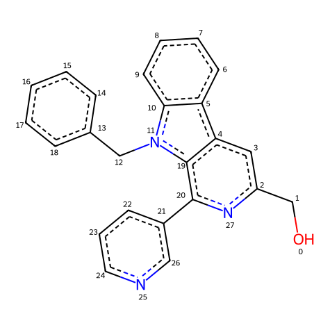 OCc1cc2c3ccccc3n(Cc3ccccc3)c2c(-c2cccnc2)n1